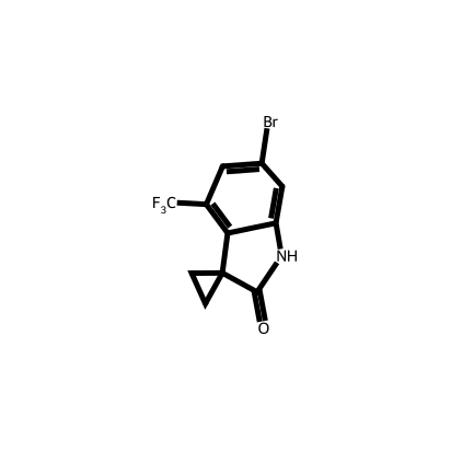 O=C1Nc2cc(Br)cc(C(F)(F)F)c2C12CC2